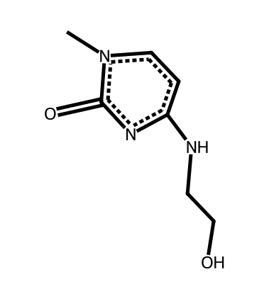 Cn1ccc(NCCO)nc1=O